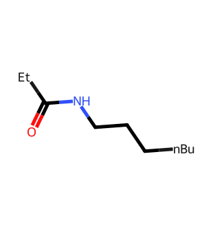 CCCCCCCNC(=O)CC